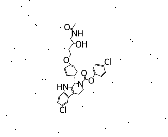 CC(=O)NCC(O)CCOC1=CCC([C@H]2c3[nH]c4ccc(Cl)cc4c3CCN2C(=O)Oc2ccc(Cl)cc2)C=C1